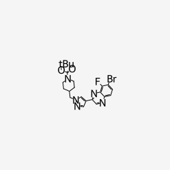 CC(C)(C)OC(=O)N1CCC(Cn2cc(-c3cnc4ccc(Br)c(F)c4n3)cn2)CC1